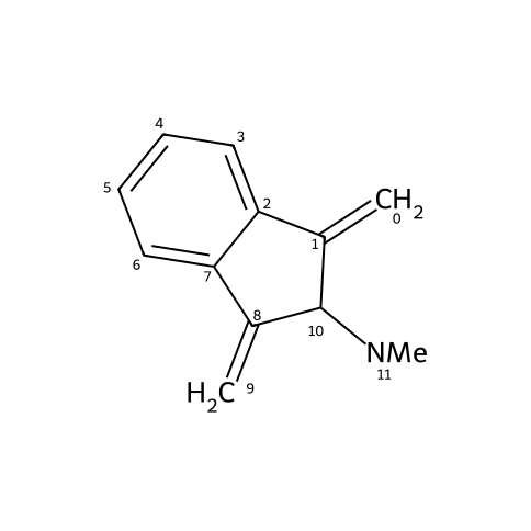 C=C1c2ccccc2C(=C)C1NC